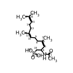 CC(=O)NC(C=C(C)CCC=C(C)CCC=C(C)C)CP(=O)(O)O